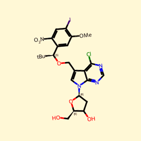 COc1cc([C@@H](OCc2cn([C@H]3CC(O)[C@@H](CO)O3)c3ncnc(Cl)c23)C(C)(C)C)c([N+](=O)[O-])cc1I